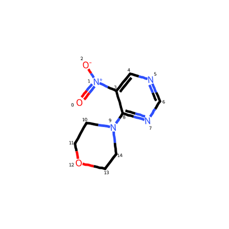 O=[N+]([O-])c1cncnc1N1CCOCC1